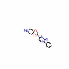 c1ccc2c(c1)nc1nc(C3COC4(CCNCC4)O3)ccn12